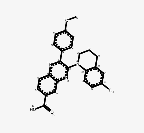 COc1ccc(-c2nc3ccc(C(=O)O)cc3nc2N2CCCc3cc(F)ccc32)cc1